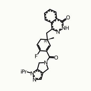 CC(C)n1ncc2c1CN(C(=O)C1=C[C@@](C)(Cc3n[nH]c(=O)c4ccccc34)CC=C1F)C2